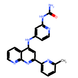 Cc1cccc(-c2cc(Nc3ccnc(NC(N)=O)c3)c3cccnc3n2)n1